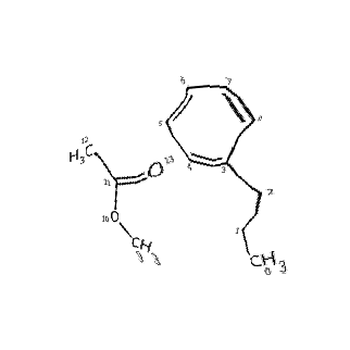 CCCc1ccccc1.COC(C)=O